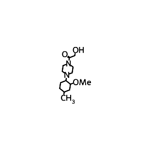 COC1CC(C)CCC1N1CCN(C(=O)CO)CC1